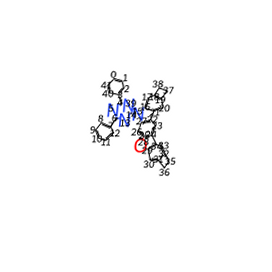 c1ccc(-c2nc(-c3ccccc3)nc(-n3c4cc5c(cc4c4cc6c(cc43)oc3cc4c(cc36)CC4)CC5)n2)cc1